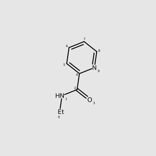 [CH2]CNC(=O)c1ccccn1